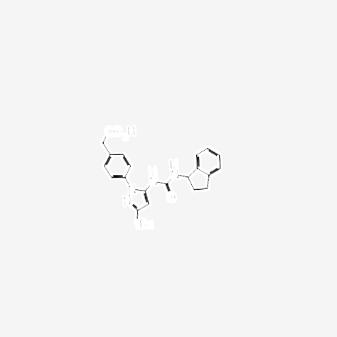 CC(C)(C)c1cc(NC(=O)NC2CCc3ccccc32)n(-c2ccc(CC(=O)O)cc2)n1